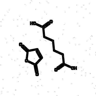 O=C(O)CCCCC(=O)O.O=C1C=CC(=O)O1